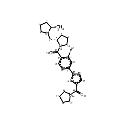 C[C@@H]1CCCN1C[C@@H]1CCCN1C(=O)c1ccc(-c2ccc(C(=O)N3CCCC3)s2)cc1F